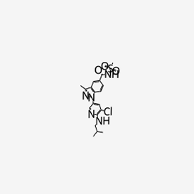 Cc1nn(-c2cnc(NCC(C)C)c(Cl)c2)c2ccc(C(=O)NS(C)(=O)=O)cc12